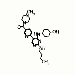 CCCCNc1ncc(-c2ccc(C(=O)N3CCN(C)CC3)cn2)c(N[C@H]2CC[C@H](O)CC2)n1